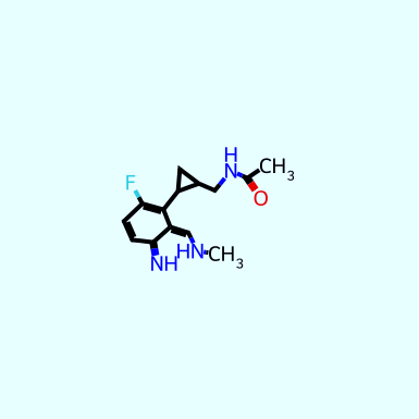 CN/C=C1\C(=N)C=CC(F)=C1C1CC1CNC(C)=O